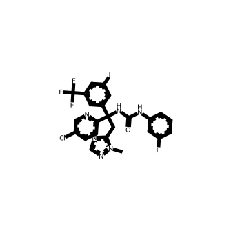 Cn1ncnc1CC(NC(=O)Nc1cccc(F)c1)(c1cc(F)cc(C(F)(F)F)c1)c1ccc(Cl)cn1